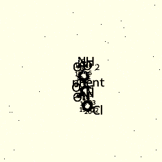 CCCCCOc1c(-c2ccc(S(N)(=O)=O)cc2)cnn(-c2cccc(Cl)c2)c1=O